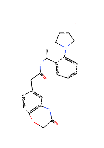 C[C@H](NC(=O)Cc1ccc2c(c1)NC(=O)CO2)c1ccccc1N1CC[C@H](O)C1